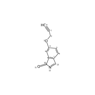 C#CCOc1ccc2c(c1)C(=O)N=C2